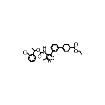 CCOC(=O)C1CC=C(c2cccc(-c3onc(C)c3NC(=O)OC(C)c3ccccc3Cl)c2)CC1